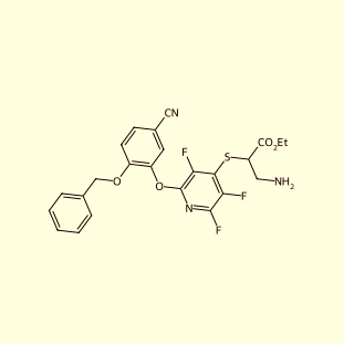 CCOC(=O)C(CN)Sc1c(F)c(F)nc(Oc2cc(C#N)ccc2OCc2ccccc2)c1F